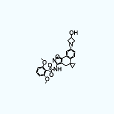 COc1cccc(OC)c1S(=O)(=O)Nc1noc2c1CC1(CC1)c1ccc(N3CC(O)C3)cc1-2